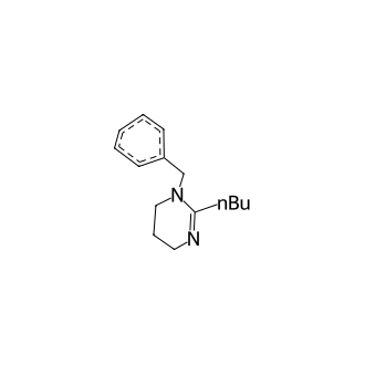 CCCCC1=NCCCN1Cc1ccccc1